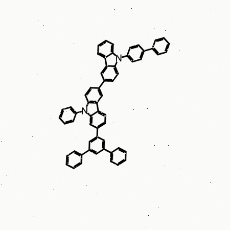 c1ccc(-c2ccc(-n3c4ccccc4c4cc(-c5ccc6c(c5)c5ccc(-c7cc(-c8ccccc8)cc(-c8ccccc8)c7)cc5n6-c5ccccc5)ccc43)cc2)cc1